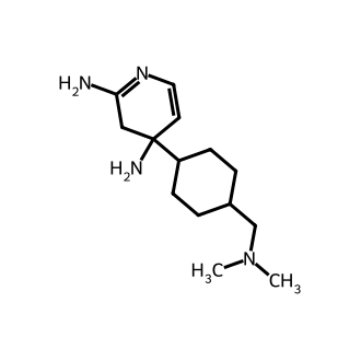 CN(C)CC1CCC(C2(N)C=CN=C(N)C2)CC1